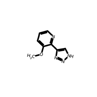 COc1cccnc1-c1c[nH]nn1